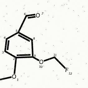 COc1ccc(C=O)cc1OCF